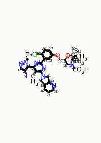 Cc1c(-c2c(I)cnn2C)nc(-c2cc(OC[C@@H](CN(C)C(=O)O)O[Si](C)(C)C(C)(C)C)ccc2Cl)nc1N1Cc2cccnc2C1